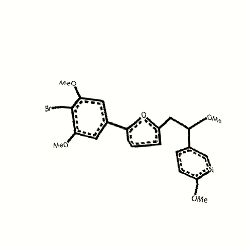 CO[C]([CH]c1ccc(-c2cc(OC)c(Br)c(OC)c2)o1)c1ccc(OC)nc1